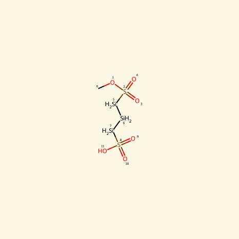 COS(=O)(=O)[SiH2][SiH2][SiH2]S(=O)(=O)O